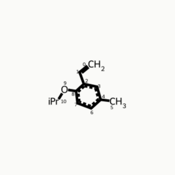 C=[C]c1cc(C)ccc1OC(C)C